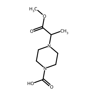 COC(=O)C(C)N1CCN(C(=O)O)CC1